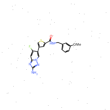 COc1cccc(CNC(=O)c2cc(-c3cn4nc(N)nc4cc3F)cs2)c1